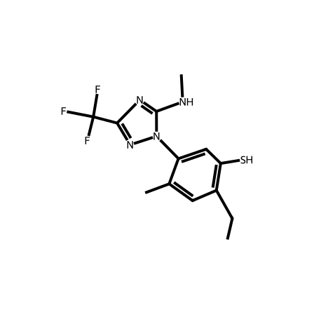 CCc1cc(C)c(-n2nc(C(F)(F)F)nc2NC)cc1S